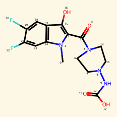 Cn1c(C(=O)N2CCN(NC(=O)O)CC2)c(O)c2cc(F)c(F)cc21